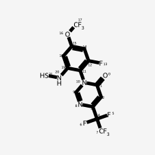 O=c1cc(C(F)(F)C(F)(F)F)ncn1-c1c(F)cc(OC(F)(F)F)cc1NS